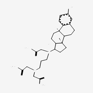 COC(=O)CN(CCCN(CC(=O)OC)C1CC[C@H]2[C@@H]3CCc4cc(OC)ccc4[C@H]3CC[C@]12C)CC(=O)OC